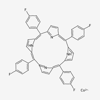 Fc1ccc(-c2c3nc(c(-c4ccc(F)cc4)c4ccc([nH]4)c(-c4ccc(F)cc4)c4nc(c(-c5ccc(F)cc5)c5ccc2[nH]5)C=C4)C=C3)cc1.[Co+2]